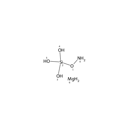 NO[Si](O)(O)O.[MgH2]